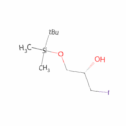 CC(C)(C)[Si](C)(C)OC[C@H](O)CI